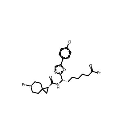 CCC(=O)CCCCC[C@H](NC(=O)[C@H]1CC12CCN(CC)CC2)c1ncc(-c2ccc(Cl)cc2)o1